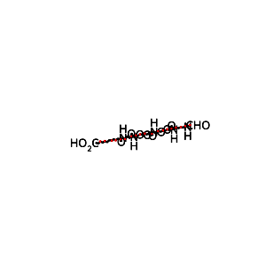 O=CNCCCCCNC(=O)COCCOCCNC(=O)COCCOCCNC(=O)CCCNC(=O)CCCCCCCCCCC(=O)O